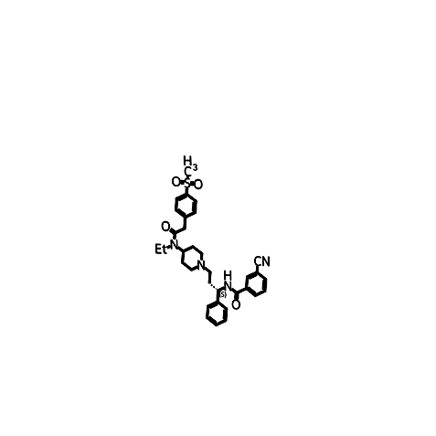 CCN(C(=O)Cc1ccc(S(C)(=O)=O)cc1)C1CCN(CC[C@H](NC(=O)c2cccc(C#N)c2)c2ccccc2)CC1